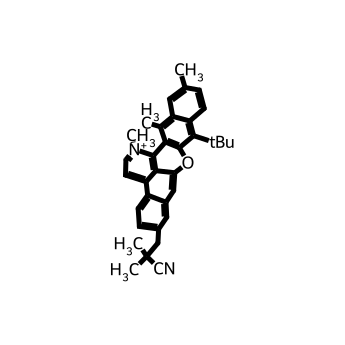 Cc1ccc2c(C(C)(C)C)c3c(c(C)c2c1)-c1c2c(cc4cc(CC(C)(C)C#N)ccc4c2cc[n+]1C)O3